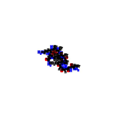 CC(C)C[C@H](NC(=O)[C@@H]1CCCN1C(=O)[C@@H](NC(=O)[C@@H]1CCCN1C(=O)[C@H](CCC(=O)O)NC(=O)[C@H](C)NC(=O)[C@H](C)NC(=O)CNC(=O)[C@@H](N)CC(C)C)C(C)C)C(=O)N[C@H](C(=O)N[C@@H](CCCCN)C(=O)N[C@@H](CCC(N)=O)C(=O)N[C@@H](CC(=O)O)C(=O)O)C(C)C